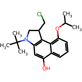 CC(C)Oc1cccc2c(O)cc3c(c12)C(CCl)CN3C(C)(C)C